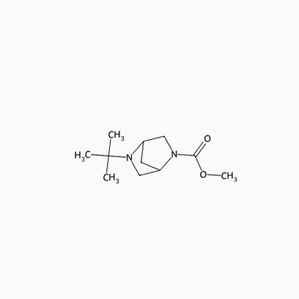 COC(=O)N1CC2CC1CN2C(C)(C)C